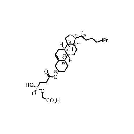 CC(C)CCC[C@@H](C)[C@H]1CC[C@H]2[C@@H]3CC=C4C[C@@H](OC(=O)CCP(=O)(O)OCC(=O)O)CC[C@]4(C)[C@H]3CC[C@]12C